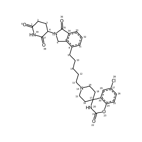 O=C1CCC(N2Cc3c(CCCCCN4CCC5(CC4)NC(=O)Oc4ccc(Cl)cc45)cccc3C2=O)C(=O)N1